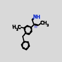 C/C=C(\C=N)c1ccc(Cc2ccccc2)c(C)c1